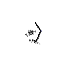 CCCCCCCC/C=C\CCCCCCCCC(C)(N)CN.COS(=O)(=O)O.NCCN